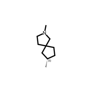 C[C@H]1CCC2(CCN(C)C2)C1